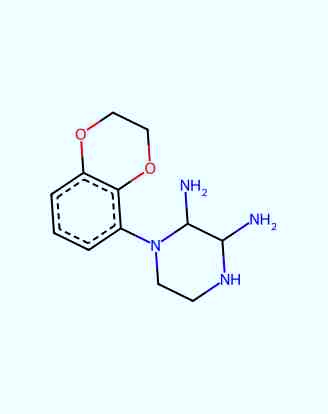 NC1NCCN(c2cccc3c2OCCO3)C1N